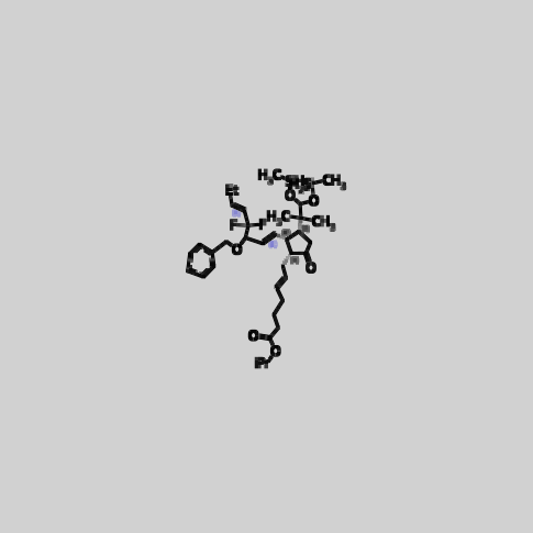 CC/C=C/C(F)(F)C(/C=C/[C@@H]1[C@H](C(C)(C)C(O[SiH2]C)O[SiH2]C)CC(=O)[C@@H]1CC=CCCCC(=O)OC(C)C)OCc1ccccc1